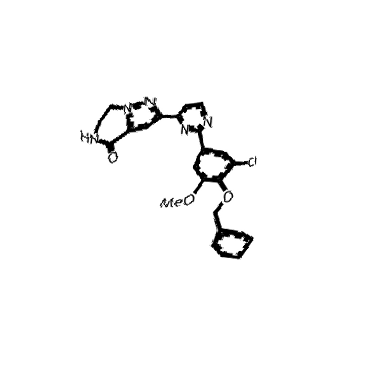 COc1cc(-c2nccc(-c3cc4n(n3)CCNC4=O)n2)cc(Cl)c1OCc1ccccc1